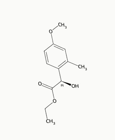 CCOC(=O)[C@H](O)c1ccc(OC)cc1C